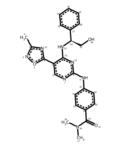 Cc1noc(-c2cnc(Nc3ccc(C(=O)N(C)C)cc3)nc2N[C@H](CO)c2ccccc2)n1